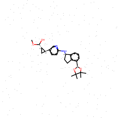 COC(O)[C@H]1C[C@@H]1c1ccc(N[C@@H]2CCc3c(B4OC(C)(C)C(C)(C)O4)cccc32)nc1